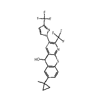 CC1(c2ccc3c(c2)C(O)c2cc(-n4ccc(C(F)(F)F)n4)c(C(F)(F)F)nc2S3)CC1